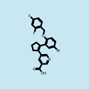 O=C(O)c1cncc(C2=C(c3cc(Br)ccc3OCc3ccc(F)cc3F)CCC2)c1